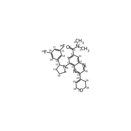 CN(C)C(=O)c1cc(N2CCCC2c2cc(F)cc(F)c2)c2nc(C3=CCOCC3)cnc2c1